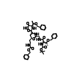 C[C@@H](OCc1ccccc1)[C@H](NC(=O)[C@H](CCCCNC(=O)OCc1ccccc1)NC(=O)CNC(=O)[C@@H](NC(=O)OC(C)(C)C)[C@@H](C)OCc1ccccc1)C(=O)O